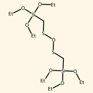 CCO[Si](CSOSC[Si](OCC)(OCC)OCC)(OCC)OCC